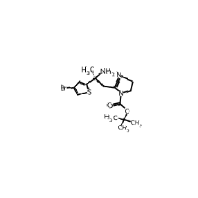 CC(C)(C)OC(=O)N1CCN=C1C[C@](C)(N)c1cc(Br)cs1